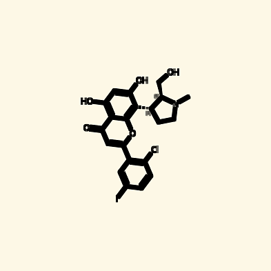 CN1CC[C@H](c2c(O)cc(O)c3c(=O)cc(-c4cc(I)ccc4Cl)oc23)[C@H]1CO